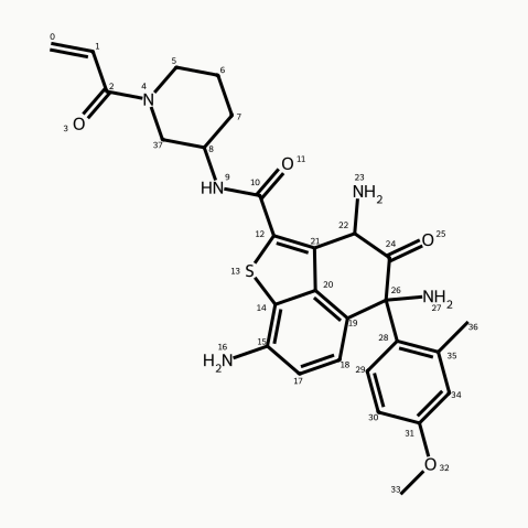 C=CC(=O)N1CCCC(NC(=O)c2sc3c(N)ccc4c3c2C(N)C(=O)C4(N)c2ccc(OC)cc2C)C1